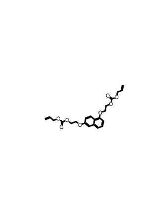 C=CCOC(=O)OCCOc1ccc2c(OCCOC(=O)OCC=C)cccc2c1